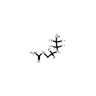 NC(=O)OCC(F)(F)OC(F)(F)C(O)(F)F